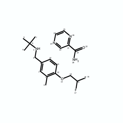 Cc1cc(CNC(C)(C)C)ccc1OCC(F)F.NC(=O)c1cnccn1